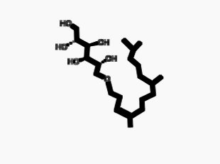 CC(=CCCOC[C@@H](O)[C@@H](O)[C@H](O)[C@H](O)CO)CCCC(C)CCCC(C)C